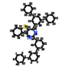 c1ccc(-c2cccc(-c3cccc(-c4nc(-c5cc(-c6ccccc6)cc(-c6ccccc6)c5)c5sc6ccccc6c5n4)c3)c2)cc1